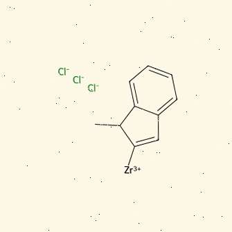 CC1[C]([Zr+3])=Cc2ccccc21.[Cl-].[Cl-].[Cl-]